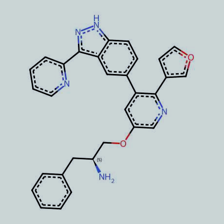 N[C@H](COc1cnc(-c2ccoc2)c(-c2ccc3[nH]nc(-c4ccccn4)c3c2)c1)Cc1ccccc1